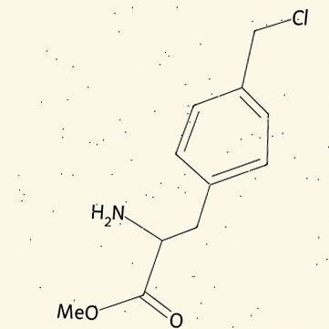 COC(=O)C(N)Cc1ccc(CCl)cc1